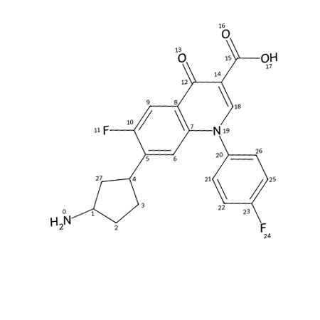 NC1CCC(c2cc3c(cc2F)c(=O)c(C(=O)O)cn3-c2ccc(F)cc2)C1